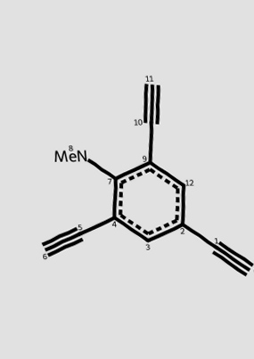 C#Cc1cc(C#C)c(NC)c(C#C)c1